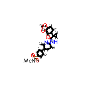 CNS(=O)(=O)c1ccc(-c2ccc(NC(=O)C3(c4ccc5c(c4)OCO5)CC3)nc2C)cc1